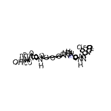 CCCC(C(=O)NC=O)N1Cc2cc(NC(=O)COCCOCCOCC(O)CN/C=C(\N=N)c3ccc(Nc4ncc5c(n4)-c4ccc(Cl)cc4C(c4c(F)cccc4F)=NC5)cc3)ccc2C1=O